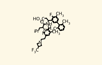 Cc1cc(-c2c(C)cccc2C)cc(C(CC(=O)O)NC(=O)C(CC(C)C)n2nc(CCN3CC(C(F)(F)F)C3)cc(C)c2=O)c1F